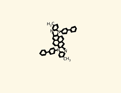 Cc1ccc(N(c2ccc(-c3ccccc3)cc2)c2c(C#N)cc3ccc4c(N(c5ccc(C)cc5)c5ccc(-c6ccccc6)cc5)c(C#N)cc5ccc2c3c54)cc1